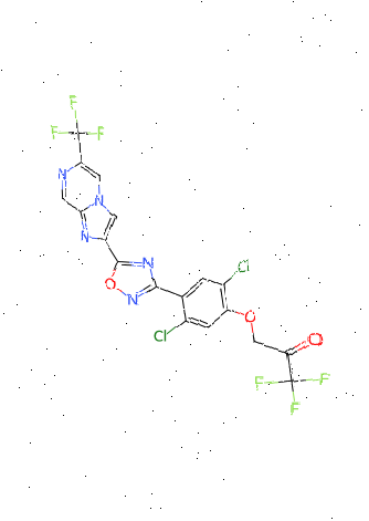 O=C(COc1cc(Cl)c(-c2noc(-c3cn4cc(C(F)(F)F)ncc4n3)n2)cc1Cl)C(F)(F)F